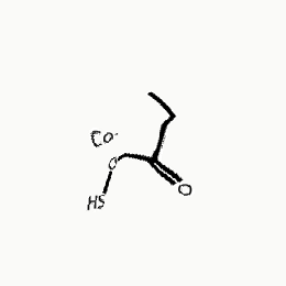 CCC(=O)OS.[Co]